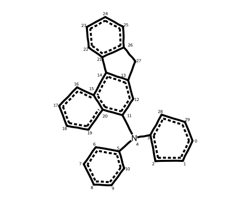 c1ccc(N(c2ccccc2)c2cc3c(c4ccccc24)-c2ccccc2C3)cc1